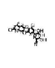 Cc1cc(Cl)nc2ccc(Oc3c(Cl)cc(N4N=C(C#N)C(O)NC4O)cc3Cl)cc12